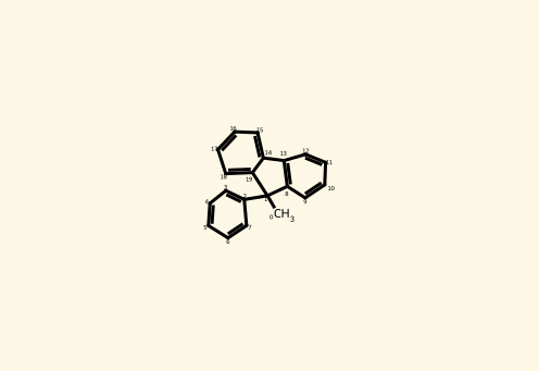 CC1(c2ccccc2)c2ccc[c]c2-c2ccccc21